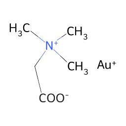 C[N+](C)(C)CC(=O)[O-].[Au+]